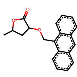 CC1CC(OCc2c3ccccc3cc3ccccc23)C(=O)O1